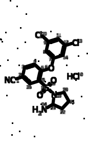 Cl.N#Cc1ccc(Oc2cc(Cl)cc(Cl)c2)c(S(=O)(=O)N2CCCC2N)c1